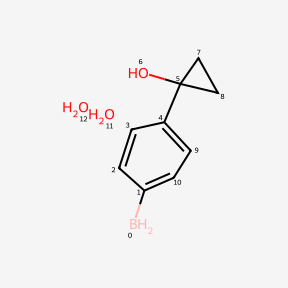 Bc1ccc(C2(O)CC2)cc1.O.O